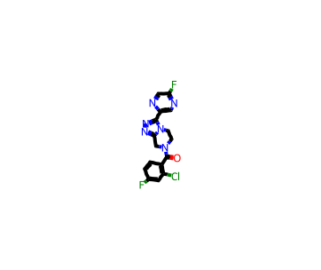 O=C(c1ccc(F)cc1Cl)N1CCn2c(nnc2-c2cnc(F)cn2)C1